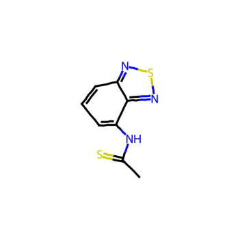 CC(=S)Nc1cccc2nsnc12